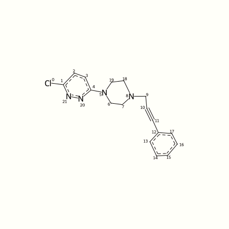 Clc1ccc(N2CCN(CC#Cc3ccccc3)CC2)nn1